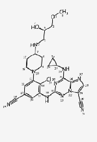 COC[C@H](O)CNC1CCN(c2cc(C#N)cc(Nc3nc(NC4CC4)c4ncc(C#N)n4n3)c2Cl)CC1